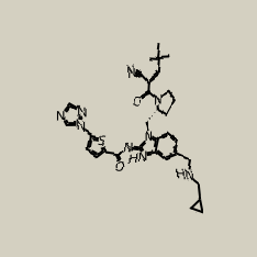 CC(C)(C)/C=C(\C#N)C(=O)N1CCC[C@@H]1Cn1/c(=N/C(=O)c2ccc(-n3cncn3)s2)[nH]c2cc(CNCC3CC3)ccc21